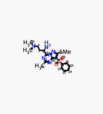 CSc1nn2c(C(N)CCN(C)C)nc(C)nc2c1S(=O)(=O)c1ccccc1